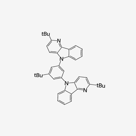 CC(C)(C)c1cc(-n2c3ccccc3c3nc(C(C)(C)C)ccc32)cc(-n2c3ccccc3c3nc(C(C)(C)C)ccc32)c1